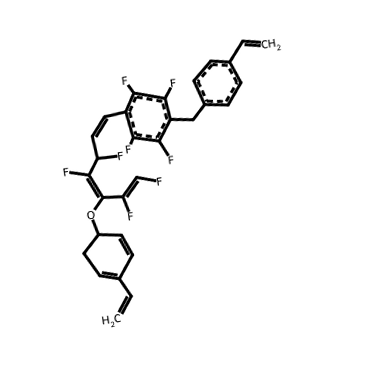 C=CC1=CCC(OC(/C(F)=C/F)=C(\F)C(F)/C=C\c2c(F)c(F)c(Cc3ccc(C=C)cc3)c(F)c2F)C=C1